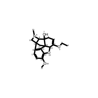 CCOC1=CCC2(O)C3N(C)CC34CC23c2c4ccc(OC)c2OC13